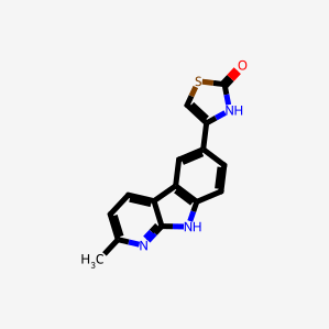 Cc1ccc2c(n1)[nH]c1ccc(-c3csc(=O)[nH]3)cc12